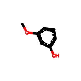 COc1c[c]cc(O)c1